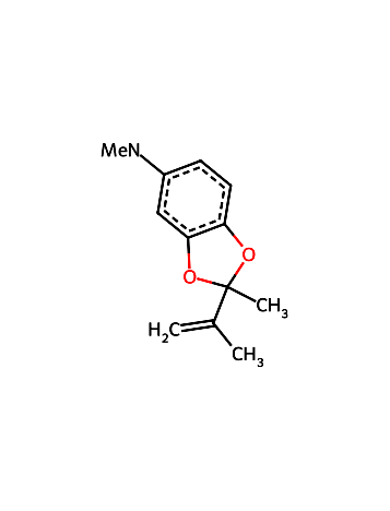 C=C(C)C1(C)Oc2ccc(NC)cc2O1